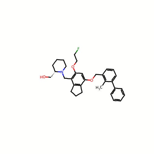 Cc1c(COc2cc(OCCF)c(CN3CCCC[C@H]3CO)c3c2CCC3)cccc1-c1ccccc1